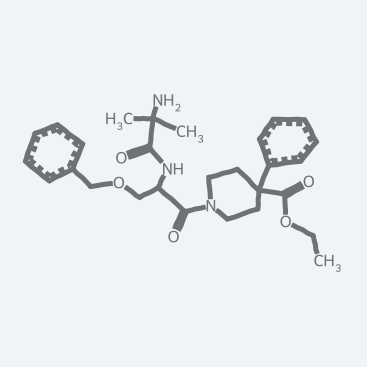 CCOC(=O)C1(c2ccccc2)CCN(C(=O)C(COCc2ccccc2)NC(=O)C(C)(C)N)CC1